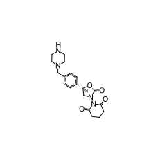 O=C1O[C@@H](c2ccc(CN3CCNCC3)cc2)CN1N1C(=O)CCCC1=O